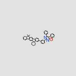 CC1(C)c2cc3c(cc2C2=CC=CCC21)C1(CCCCC1)c1cc(-c2cccc(-c4nc(-c5ccccc5)c5c(n4)oc4ccccc45)c2)ccc1-3